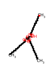 CCCCCCCCC=CCCCCCCCC(=O)O[C@H]1[C@@H]([C@@H](CO)OC(=O)CCCCCCCC=CCCCCCCCC)OC[C@@H]1OC(=O)CCCCCCCC=CCCCCCCCC